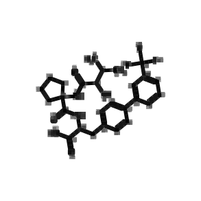 CC(C)C(S)C(=O)NC1(C(=O)NC(Cc2ccc(-c3cccc(C(F)(F)F)c3)cc2)C(=O)O)CCCC1